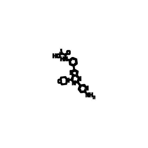 C[C@H](O)C(=O)Nc1cccc(-c2cc3nc(-c4ccc(N)nc4)nc(N4CCOCC4)c3s2)c1